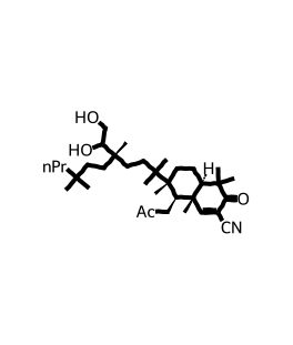 CCCC(C)(C)CC[C@@](C)(CCC(C)(C)[C@]1(C)CC[C@H]2C(C)(C)C(=O)C(C#N)=C[C@]2(C)[C@H]1CC(C)=O)C(O)CO